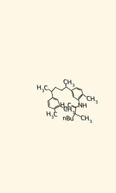 C=C(Nc1cc([C@H](C)CCC(C)c2ccc(C)c(C)c2)ccc1C)C(C)CCCC